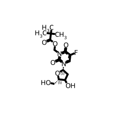 CC(C)(C)C(=O)OCn1c(=O)c(F)cn([C@@H]2CC(O)[C@H](CO)O2)c1=O